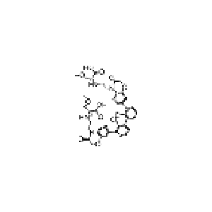 COC[C@H](NCCN1C(=O)COc2cc(-c3cccc(-c4cccc(-c5ccc6c(c5)OCC(=O)N6CCN[C@@H](COC)C(=O)O)c4Cl)c3Cl)ccc21)C(=O)O